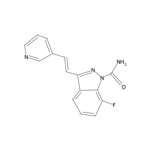 NC(=O)n1nc(C=Cc2cccnc2)c2c[c]cc(F)c21